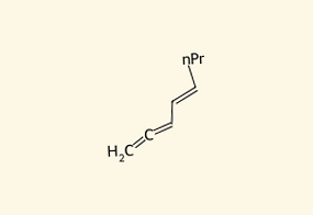 C=C=CC=CCCC